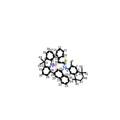 Cc1cc2c(cc1N1c3sc4ccccc4c3B3c4c(cc5ccccc5c41)-c1cccc4c1N3c1ccccc1C4(C)C)C(C)(C)CCC2(C)C